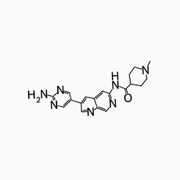 CN1CCC(C(=O)Nc2cc3cc(-c4cnc(N)nc4)cnc3cn2)CC1